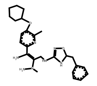 Cc1nc(/C(N)=C(\CNC2=NOC(Cc3ccccc3)N2)N(C)N)ccc1OC1CCCCC1